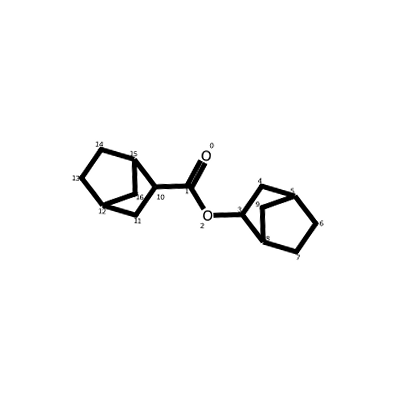 O=C(OC1CC2CCC1C2)C1CC2CCC1C2